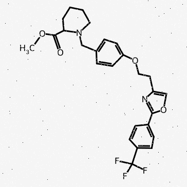 COC(=O)C1CCCCN1Cc1ccc(OCCc2coc(-c3ccc(C(F)(F)F)cc3)n2)cc1